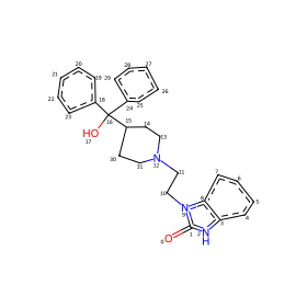 O=c1[nH]c2ccccc2n1CCN1CCC(C(O)(c2ccccc2)c2ccccc2)CC1